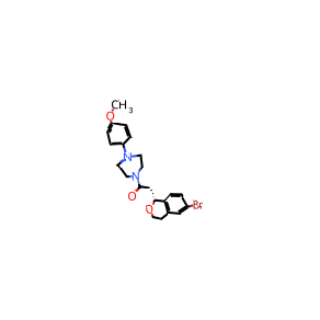 COc1ccc(N2CCN(C(=O)C[C@H]3OCCc4cc(Br)ccc43)CC2)cc1